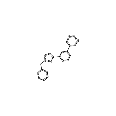 c1ccc(Cn2ccc(-c3cccc(-c4cncnc4)c3)n2)cc1